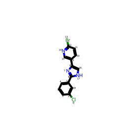 Clc1cccc(-c2nc(-c3ccc(Br)nc3)c[nH]2)c1